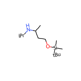 CC(C)NC(C)CCO[Si](C)(C)C(C)(C)C